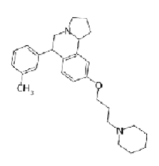 Cc1cccc(C2CN3CCCC3c3cc(OCCCN4CCCCC4)ccc32)c1